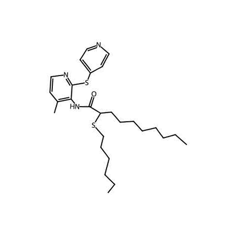 CCCCCCCCC(SCCCCCC)C(=O)Nc1c(C)ccnc1Sc1ccncc1